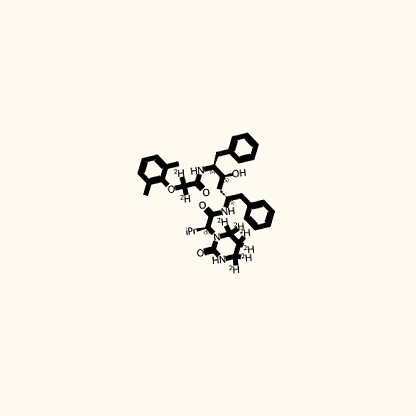 [2H]C([2H])(Oc1c(C)cccc1C)C(=O)N[C@@H](Cc1ccccc1)[C@@H](O)C[C@H](Cc1ccccc1)NC(=O)[C@H](C(C)C)N1C(=O)NC([2H])([2H])C([2H])([2H])C1([2H])[2H]